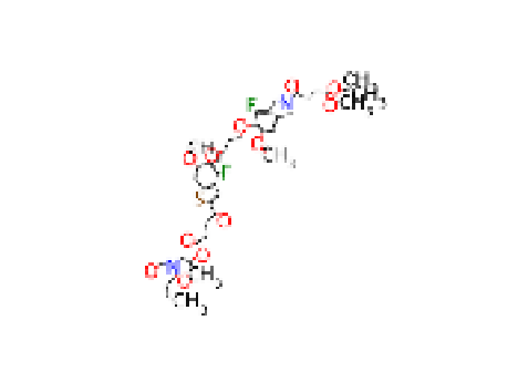 C/C=C\C(=O)N(C=O)C[C@H](C)OC(=O)CCC(=O)c1cc2c(F)c(OCCCOc3c(OC)cc4c(c3F)CN(C(=O)CCC(=O)OC(C)(C)C)C4)c(OC)cc2s1